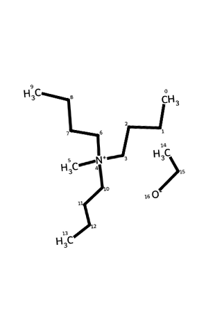 CCCC[N+](C)(CCCC)CCCC.CC[O-]